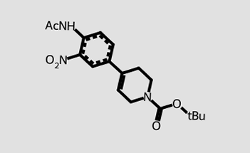 CC(=O)Nc1ccc(C2=CCN(C(=O)OC(C)(C)C)CC2)cc1[N+](=O)[O-]